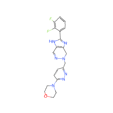 Fc1cccc(-c2nc3c([nH]2)C=NN(Cc2ccc(N4CCOCC4)nn2)C3)c1F